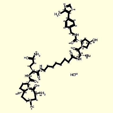 CC(=O)N1CC[C@H]2CC[C@@H](C(=O)N[C@@H](CCC(N)=O)C(=O)NCCCCCCCC(=O)N[C@H](C(=O)N3C[C@H](O)C[C@H]3C(=O)NCc3ccc(-c4scnc4C)cc3)C(C)(C)C)N2C(=O)[C@@H](N)C1.Cl